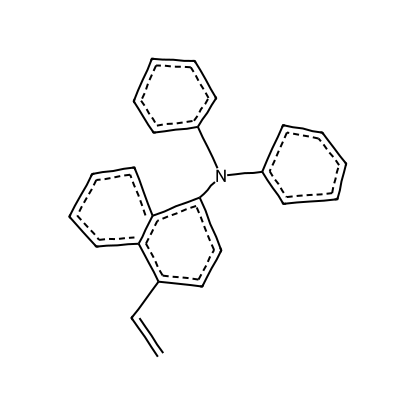 C=Cc1ccc(N(c2ccccc2)c2ccccc2)c2ccccc12